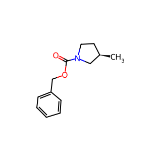 C[C@@H]1CCN(C(=O)OCc2ccccc2)C1